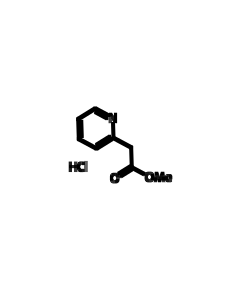 COC(=O)Cc1ccccn1.Cl